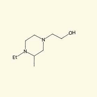 CCN1CCN(CCO)CC1C